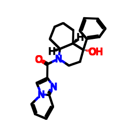 O=C(c1cn2ccccc2n1)N1CC[C@](O)(c2ccccc2)[C@H]2CCCC[C@H]21